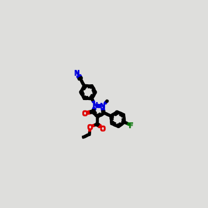 CCOC(=O)c1c(-c2ccc(F)cc2)n(C)n(-c2ccc(C#N)cc2)c1=O